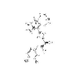 CN(Cc1ccc(Cl)c(Cl)c1)C(=O)C1CN(c2c3c(nc4ccnn24)CCNCC3)C1